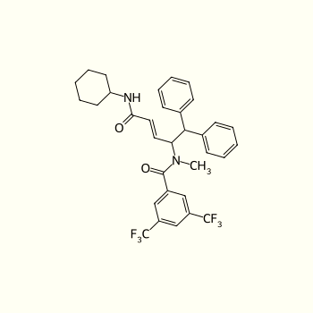 CN(C(=O)c1cc(C(F)(F)F)cc(C(F)(F)F)c1)C(C=CC(=O)NC1CCCCC1)C(c1ccccc1)c1ccccc1